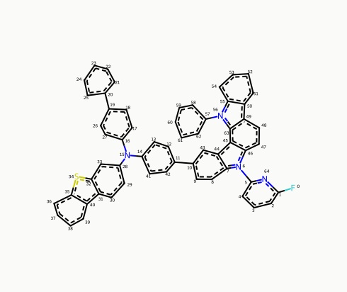 Fc1cccc(-n2c3ccc(-c4ccc(N(c5ccc(-c6ccccc6)cc5)c5ccc6c(c5)sc5ccccc56)cc4)cc3c3c2ccc2c4ccccc4n(-c4ccccc4)c23)n1